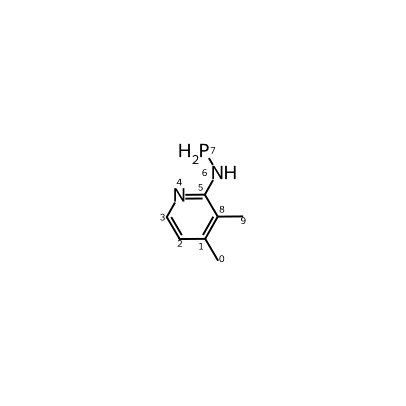 Cc1ccnc(NP)c1C